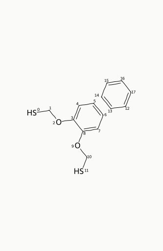 SCOc1ccccc1OCS.c1ccccc1